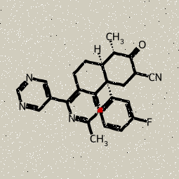 Cc1nc(-c2cncnc2)c2c(n1)[C@]1(c3cccc(F)c3)CC(C#N)C(=O)[C@@H](C)[C@@H]1CC2